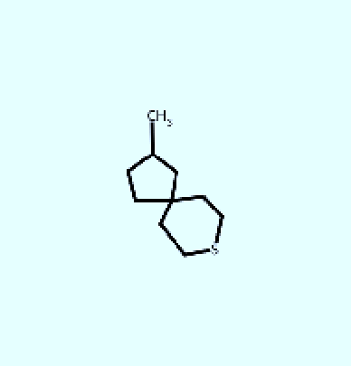 CC1CCC2(CCSCC2)C1